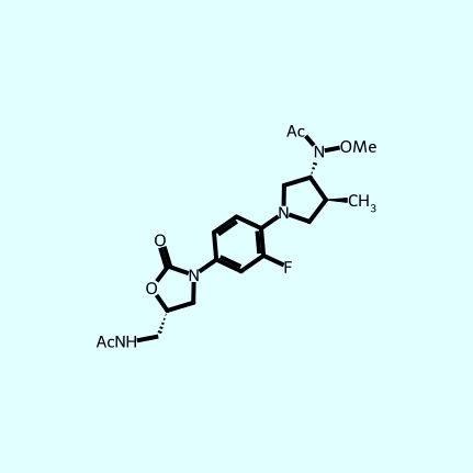 CON(C(C)=O)[C@H]1CN(c2ccc(N3C[C@H](CNC(C)=O)OC3=O)cc2F)C[C@@H]1C